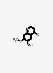 COc1cc2c(Cl)ccnc2cc1OC(F)(F)F